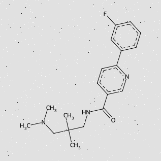 CN(C)CC(C)(C)CNC(=O)c1ccc(-c2cccc(F)c2)nc1